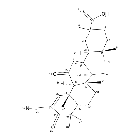 CC1(C(=O)O)CC[C@]2(C)CC[C@]3(C)C(=CC(=O)[C@@H]4[C@@]5(C)C=C(C#N)C(=O)C(C)(C)C5CC[C@]43C)[C@H]2C1